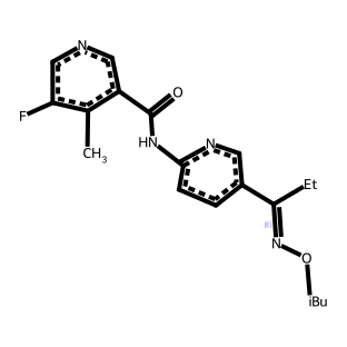 CC/C(=N\OC(C)CC)c1ccc(NC(=O)c2cncc(F)c2C)nc1